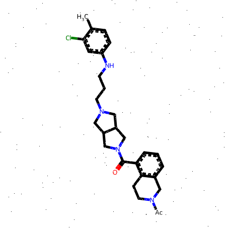 CC(=O)N1CCc2c(cccc2C(=O)N2CC3CN(CCCNc4ccc(C)c(Cl)c4)CC3C2)C1